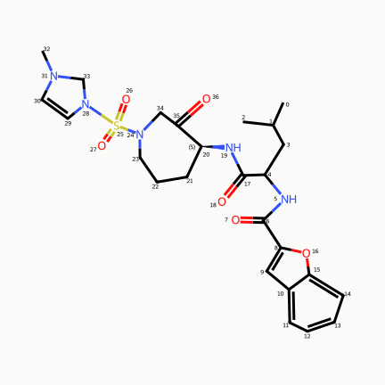 CC(C)CC(NC(=O)c1cc2ccccc2o1)C(=O)N[C@H]1CCCN(S(=O)(=O)N2C=CN(C)C2)CC1=O